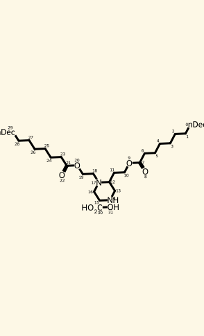 CCCCCCCCCCCCCCCCC(=O)OCCC1CNCCN1CCOC(=O)CCCCCCCCCCCCCCCC.O=C(O)O